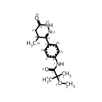 COC(C)(C)C(=O)Nc1ccc(C2=NNC(=O)CC2C)cc1